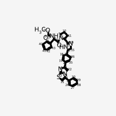 COC(=O)N[C@@H](C(=O)N1CCCC1C1=NCC(c2ccc(-c3cn4c(-c5ccccc5)csc4n3)cc2)N1)c1ccccc1